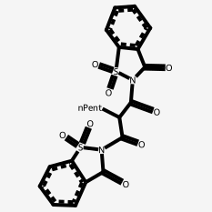 CCCCCC(C(=O)N1C(=O)c2ccccc2S1(=O)=O)C(=O)N1C(=O)c2ccccc2S1(=O)=O